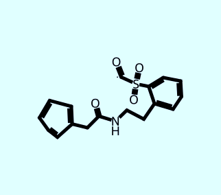 O=[C]S(=O)(=O)c1ccccc1CCNC(=O)Cc1ccccc1